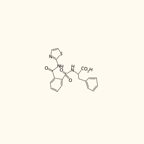 O=C(Nc1nccs1)c1ccccc1S(=O)(=O)NC(Cc1ccccc1)C(=O)O